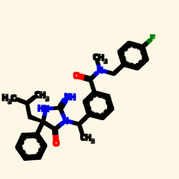 CC(C)C[C@@]1(c2ccccc2)NC(=N)N(C(C)c2cccc(C(=O)N(C)Cc3ccc(F)cc3)c2)C1=O